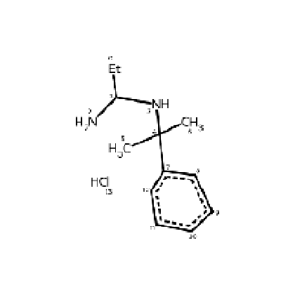 CCC(N)NC(C)(C)c1ccccc1.Cl